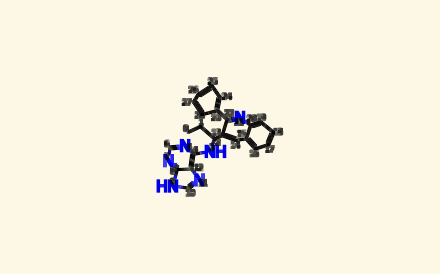 CCC(Nc1ncnc2[nH]cnc12)c1cc2ccccc2nc1-c1ccccc1